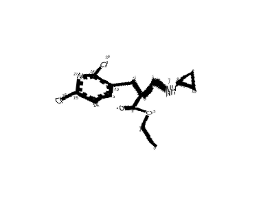 CCOC(=O)C(=CNC1CC1)Cc1ccc(Cl)nc1Cl